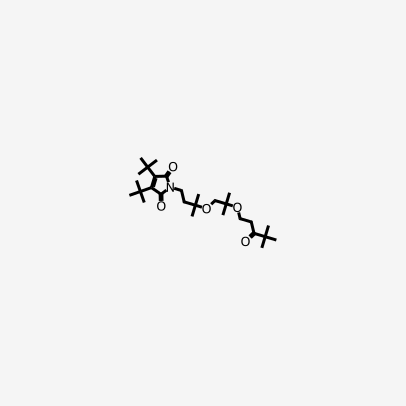 CC(C)(CCN1C(=O)C(C(C)(C)C)=C(C(C)(C)C)C1=O)OCC(C)(C)OCCC(=O)C(C)(C)C